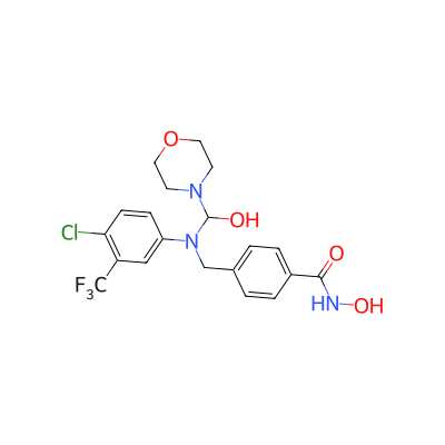 O=C(NO)c1ccc(CN(c2ccc(Cl)c(C(F)(F)F)c2)C(O)N2CCOCC2)cc1